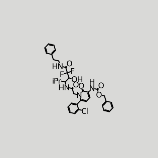 CC(C)C(NC(=O)Cn1c(-c2ccccc2Cl)ccc(NC(=O)OCc2ccccc2)c1=O)C(O)C(F)(F)C(=O)NCCc1ccccc1